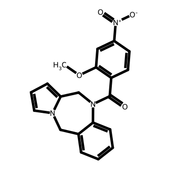 COc1cc([N+](=O)[O-])ccc1C(=O)N1Cc2cccn2Cc2ccccc21